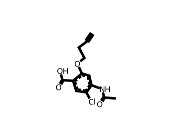 C#CCCOc1cc(NC(C)=O)c(Cl)cc1C(=O)O